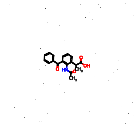 CC(=O)Nc1c(C(=O)c2ccccc2)cccc1C(C)C(=O)O